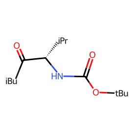 CCC(C)C(=O)[C@@H](NC(=O)OC(C)(C)C)C(C)C